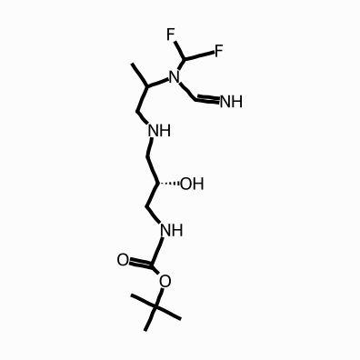 CC(CNC[C@H](O)CNC(=O)OC(C)(C)C)N(C=N)C(F)F